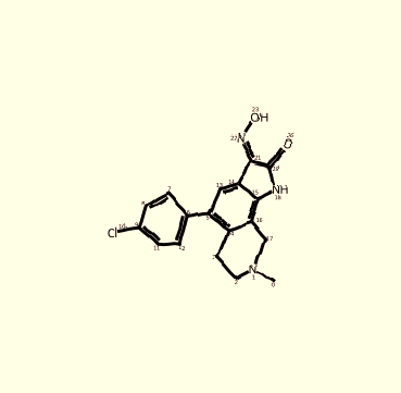 CN1CCc2c(-c3ccc(Cl)cc3)cc3c(c2C1)NC(=O)C3=NO